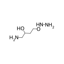 NCC(O)CCONN